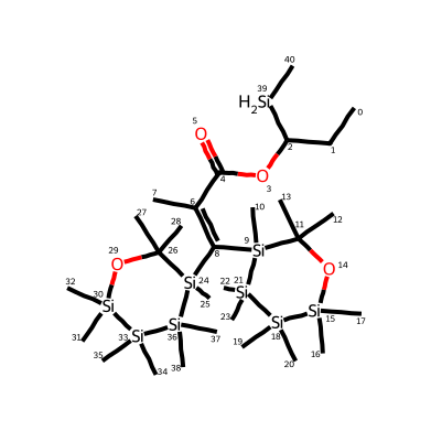 CCC(OC(=O)C(C)=C([Si]1(C)C(C)(C)O[Si](C)(C)[Si](C)(C)[Si]1(C)C)[Si]1(C)C(C)(C)O[Si](C)(C)[Si](C)(C)[Si]1(C)C)[SiH2]C